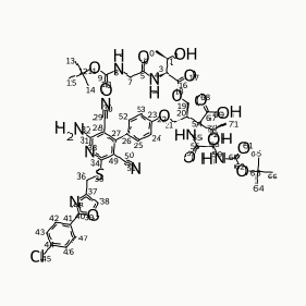 C[C@@H](O)[C@H](NC(=O)CNC(=O)OC(C)(C)C)C(=O)OC[C@H](COc1ccc(-c2c(C#N)c(N)nc(SCc3coc(-c4ccc(Cl)cc4)n3)c2C#N)cc1)[C@@](NC(=O)CNC(=O)OC(C)(C)C)(C(=O)O)[C@@H](C)O